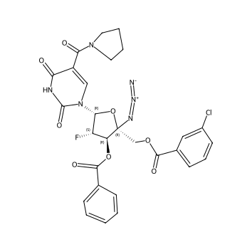 [N-]=[N+]=N[C@]1(COC(=O)c2cccc(Cl)c2)O[C@@H](n2cc(C(=O)N3CCCC3)c(=O)[nH]c2=O)[C@@H](F)[C@@H]1OC(=O)c1ccccc1